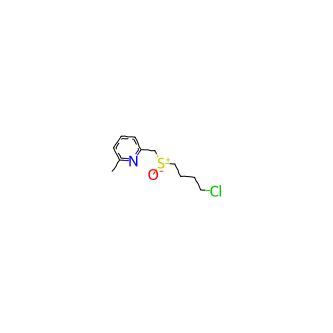 Cc1cccc(C[S+]([O-])CCCCCl)n1